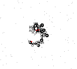 CC(=O)O[C@H]1C(=O)[C@@]2(C)C([C@H](OC(=O)c3ccccc3)[C@]3(O)C[C@H](OC(=O)[C@H](OC(=O)OCc4ccc(NC(=O)[C@@H]5CCCN5C(=O)CNC(=O)c5ccncc5)cc4)[C@@H](NC(=O)c4ccccc4)c4ccccc4)C(C)=C1C3(C)C)[C@]1(OC(C)=O)CO[C@@H]1C[C@@H]2O